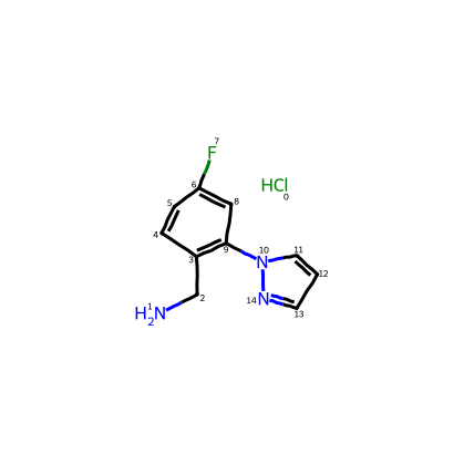 Cl.NCc1ccc(F)cc1-n1cccn1